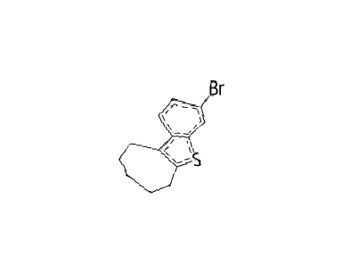 Brc1ccc2c3c(sc2c1)CCCCC3